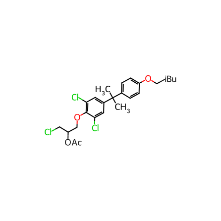 CCC(C)COc1ccc(C(C)(C)c2cc(Cl)c(OCC(CCl)OC(C)=O)c(Cl)c2)cc1